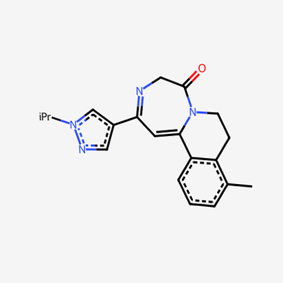 Cc1cccc2c1CCN1C(=O)CN=C(c3cnn(C(C)C)c3)C=C21